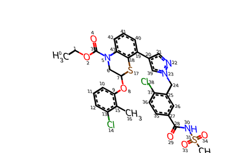 CCOC(=O)N1CC(Oc2cccc(Cl)c2C)Sc2c(-c3cnn(Cc4cc(C(=O)NS(C)(=O)=O)ccc4Cl)c3)cccc21